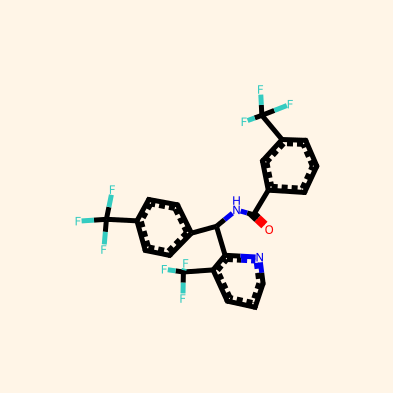 O=C(NC(c1ccc(C(F)(F)F)cc1)c1ncccc1C(F)(F)F)c1cccc(C(F)(F)F)c1